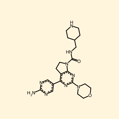 Nc1ncc(-c2nc(N3CCOCC3)nc3c2CCN3C(=O)NCC2CCNCC2)cn1